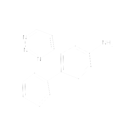 Nc1ccc(-c2ccccc2)cc1.c1cnnnc1